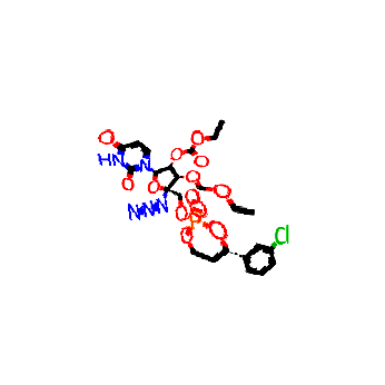 CCOC(=O)O[C@H]1[C@H](n2ccc(=O)[nH]c2=O)O[C@@](COP2(=O)OCC[C@@H](c3cccc(Cl)c3)O2)(N=[N+]=[N-])[C@H]1OC(=O)OCC